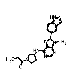 CCC(=O)N1CCC(Nc2ncnc3c2nc(-c2ccc4[nH]ncc4c2)n3C)C1